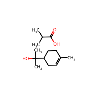 CC(C)C(=O)O.CC1=CCC(C(C)(C)O)CC1